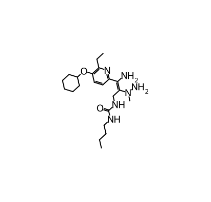 CCCCNC(=O)NC/C(=C(/N)c1ccc(OC2CCCCC2)c(CC)n1)N(C)N